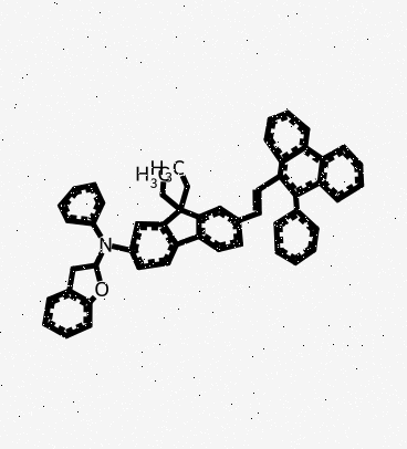 CCC1(CC)c2cc(/C=C/c3c(-c4ccccc4)c4ccccc4c4ccccc34)ccc2-c2ccc(N(c3ccccc3)C3Cc4ccccc4O3)cc21